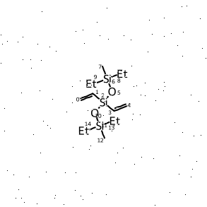 C=C[Si](C=C)(O[Si](C)(CC)CC)O[Si](C)(CC)CC